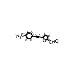 Cc1ccc(C#Cc2ccc([C]=O)o2)cc1